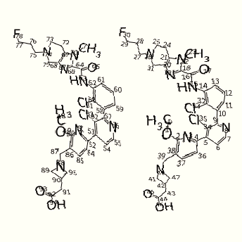 COc1nc(-c2ccnc(-c3cccc(NC(=O)c4nc5c(n4C)CCN(CCCF)C5)c3Cl)c2Cl)ccc1CN1CC(CC(=O)O)C1.COc1nc(-c2ccnc(-c3cccc(NC(=O)c4nc5c(n4C)CCN(CCCF)C5)c3Cl)c2Cl)ccc1CN1CC(CC(=O)O)C1